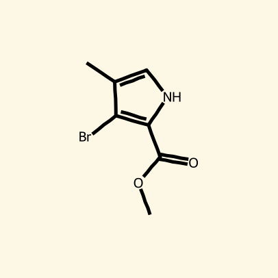 COC(=O)c1[nH]cc(C)c1Br